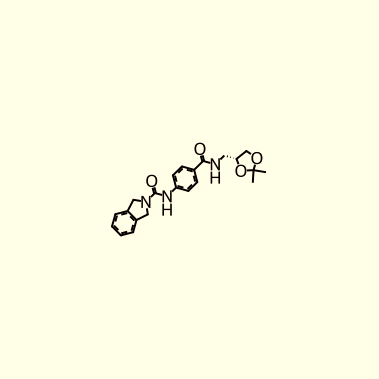 CC1(C)OC[C@@H](CNC(=O)c2ccc(NC(=O)N3Cc4ccccc4C3)cc2)O1